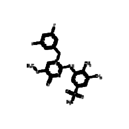 COc1cn(Cc2cc(F)cc(F)c2)c(Nc2cc(S(C)(=O)=O)cc(C)c2C)nc1=O